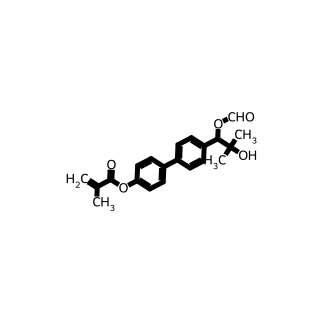 C=C(C)C(=O)Oc1ccc(-c2ccc(C(OC=O)C(C)(C)O)cc2)cc1